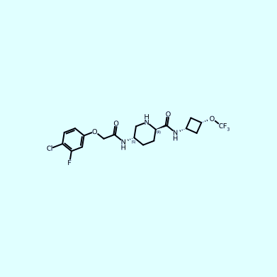 O=C(COc1ccc(Cl)c(F)c1)N[C@H]1CC[C@H](C(=O)N[C@H]2C[C@@H](OC(F)(F)F)C2)NC1